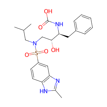 Cc1nc2cc(S(=O)(=O)N(CC(C)C)C[C@@H](O)[C@H](Cc3ccccc3)NC(=O)O)ccc2[nH]1